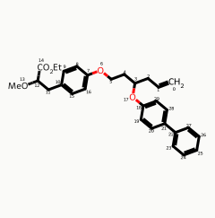 C=CCC(CCOc1ccc(CC(OC)C(=O)OCC)cc1)Oc1ccc(-c2ccccc2)cc1